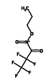 CCCO[N+](=O)C(=O)C(F)(F)C(F)(F)F